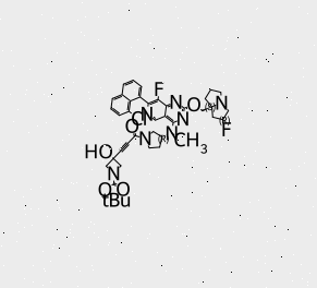 CN(c1nc(OC[C@@]23CCCN2C[C@H](F)C3)nc2c(F)c(-c3cccc4cccc(Cl)c34)ncc12)[C@@H]1CCN(C(=O)C#CC2(O)CN(C(=O)OC(C)(C)C)C2)C1